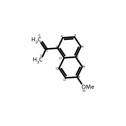 C=C(C)c1cccc2cc(OC)ccc12